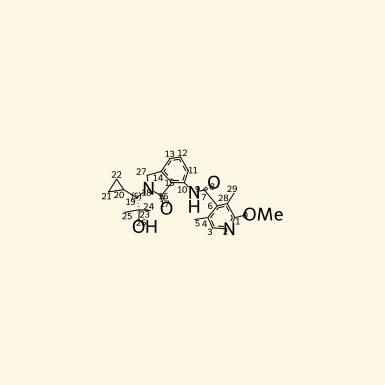 COc1ncc(C)c(C(=O)Nc2cccc3c2C(=O)N([C@@H](C2CC2)C(C)(C)O)C3)c1C